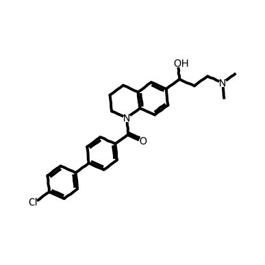 CN(C)CCC(O)c1ccc2c(c1)CCCN2C(=O)c1ccc(-c2ccc(Cl)cc2)cc1